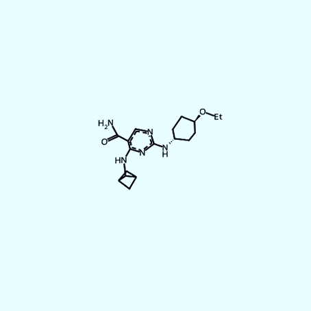 CCO[C@H]1CC[C@H](Nc2ncc(C(N)=O)c(NC3C4CC3C4)n2)CC1